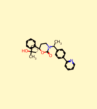 C[C@@H](c1ccc(-c2ccccn2)cc1)N1CC[C@](CC(C)(C)O)(c2ccccc2)OC1=O